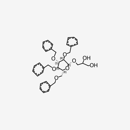 OCC(O)CO[C@@H]1O[C@H](COCc2ccccc2)[C@H](OCc2ccccc2)[C@H](OCc2ccccc2)[C@H]1OCc1ccccc1